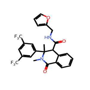 CN1C(=O)c2ccccc2C(C(=O)NCc2ccco2)C1(C)c1cc(C(F)(F)F)cc(C(F)(F)F)c1